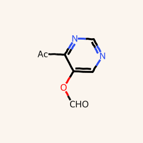 CC(=O)c1ncncc1OC=O